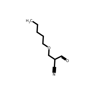 CCCCCOCC(C#N)C=O